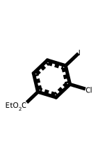 CCOC(=O)c1ccc(I)c(Cl)c1